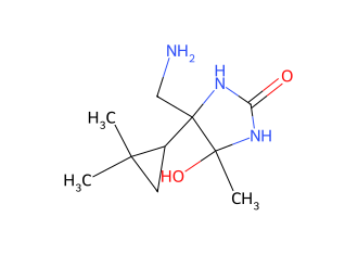 CC1(C)CC1C1(CN)NC(=O)NC1(C)O